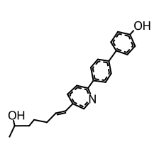 CC(O)CCC/C=C/c1ccc(-c2ccc(-c3ccc(O)cc3)cc2)nc1